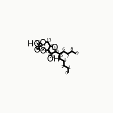 CCCCCC(CCCC)C1OC2COP(=O)(O)OC2C1O